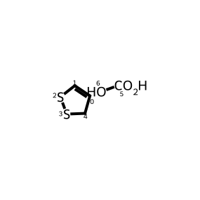 C1=CSSC1.O=C(O)O